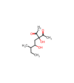 CCC(C)C(O)CC(O)(C(C)=O)C(C)=O